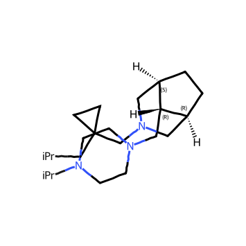 CC(C)CC1(CN2C[C@H]3CC[C@@H](C2)[C@@H]3CN2CCN(C(C)C)CC2)CC1